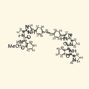 COC(=O)N[C@@H](C(=O)N1CCC[C@H]1c1ncc(-c2ccc(C#Cc3ccc(-c4cnc([C@@H]5CCCN5C(=O)[C@H](NC(=O)[C@H]5CCCN5C)c5ccccc5)[nH]4)cc3)cc2)[nH]1)c1ccccc1